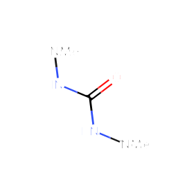 CNNC(=O)NNC